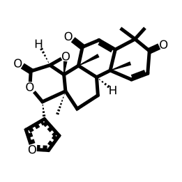 CC1(C)C(=O)C=C[C@@]2(C)C1=CC(=O)[C@]1(C)[C@@H]2CC[C@@]2(C)[C@H](c3ccoc3)OC(=O)[C@H]3O[C@]321